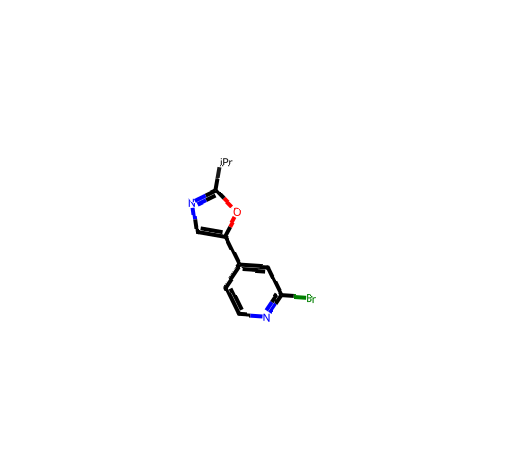 CC(C)c1ncc(-c2ccnc(Br)c2)o1